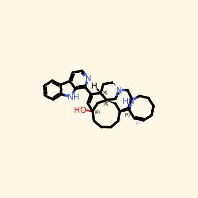 O[C@]12C=C(c3nccc4c3[nH]c3ccccc34)[C@@H]3CC[N@]4CCCC([C@@H]5/C=C\CCCCN5)(CCCC1)C[C@@]3(C4)C2